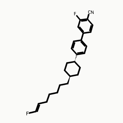 N#Cc1ccc(-c2ccc([C@H]3CC[C@H](CCCCCC=CF)CC3)cc2)cc1F